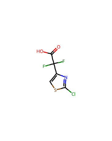 O=C(O)C(F)(F)c1csc(Cl)n1